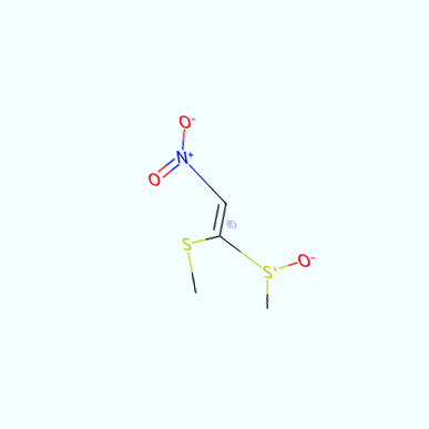 CS/C(=C\[N+](=O)[O-])[S+](C)[O-]